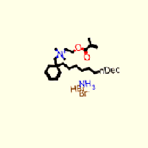 Br.C=C(C)C(=O)OCC[N+](C)(C)CC1(CCCCCCCCCCCCCCCC)C=CC=CC1.N.[Br-]